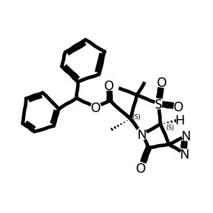 CC1(C)[C@](C)(C(=O)OC(c2ccccc2)c2ccccc2)N2C(=O)C3(N=N3)[C@@H]2S1(=O)=O